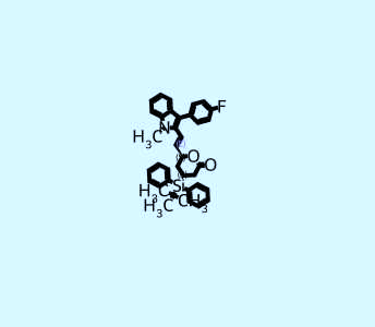 Cn1c(/C=C/[C@@H]2C[C@@H]([Si](c3ccccc3)(c3ccccc3)C(C)(C)C)CC(=O)O2)c(-c2ccc(F)cc2)c2ccccc21